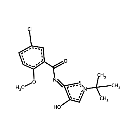 COc1ccc(Cl)cc1C(=O)/N=c1\sn(C(C)(C)C)cc1O